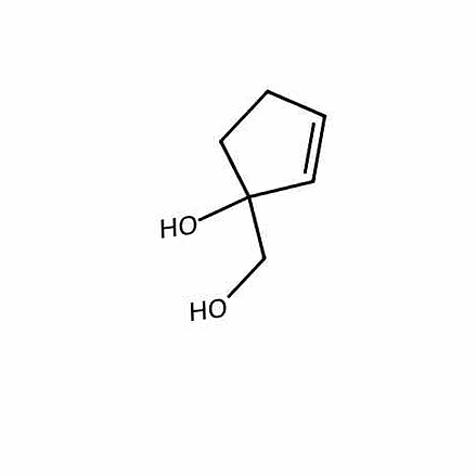 OCC1(O)C=CCC1